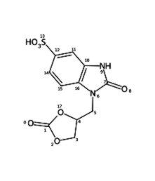 O=C1OCC(Cn2c(=O)[nH]c3cc(S(=O)(=O)O)ccc32)O1